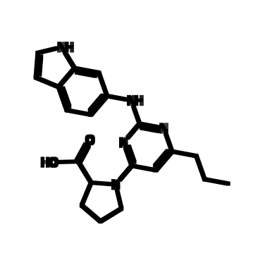 CCCc1cc(N2CCCC2C(=O)O)nc(Nc2ccc3cc[nH]c3c2)n1